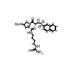 CSC1C[C@@H](C(=O)NCCCCNC(=N)N)N(C(=O)CNS(=O)(=O)c2ccc3ccccc3c2)C1